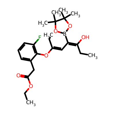 CCOC(=O)Cc1cccc(F)c1O/C(=C/C(B1OC(C)(C)C(C)(C)O1)=C(/O)CC)CC